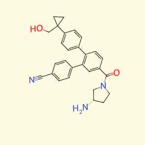 N#Cc1ccc(-c2cc(C(=O)N3CC[C@H](N)C3)ccc2-c2ccc(C3(CO)CC3)cc2)cc1